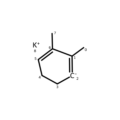 CC1=[C-]CCC=C1C.[K+]